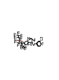 O=[N+]([O-])c1cc2c(Nc3ccc(F)c(Cl)c3)ncnc2cc1S(=O)(=O)C(F)(F)C(F)(F)C(F)(F)C(F)(F)F